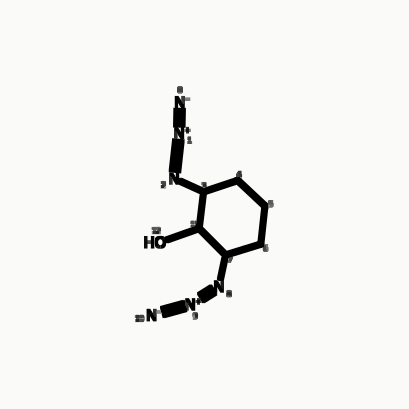 [N-]=[N+]=NC1CCCC(N=[N+]=[N-])C1O